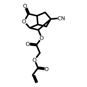 C=CC(=O)OCC(=O)OC1C2OC(=O)C3CC1(C#N)CC32